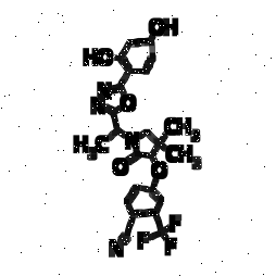 CC(c1nnc(-c2ccc(O)cc2O)o1)N1CC(C)(C)C(Oc2ccc(C#N)c(C(F)(F)F)c2)C1=O